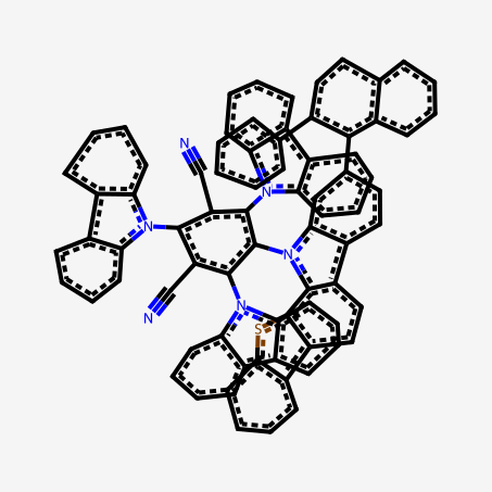 N#Cc1c(-n2c3ccccc3c3ccccc32)c(C#N)c(-n2c3ccccc3c3ccccc32)c(-n2c3cc(-c4c(-c5ccccc5)ccc5ccccc45)ccc3c3ccc4c5ccccc5sc4c32)c1-n1c2ccccc2c2ccccc21